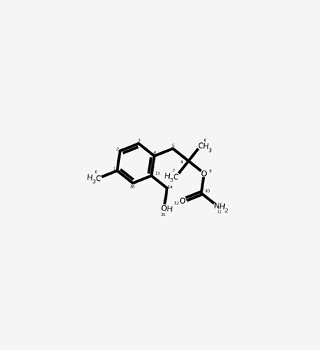 Cc1ccc(CC(C)(C)OC(N)=O)c(CO)c1